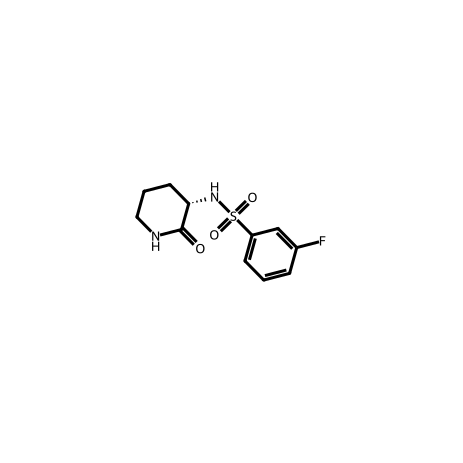 O=C1NCCC[C@@H]1NS(=O)(=O)c1cccc(F)c1